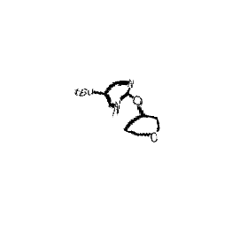 CC(C)(C)c1cnc(OC2CCOCC2)nc1